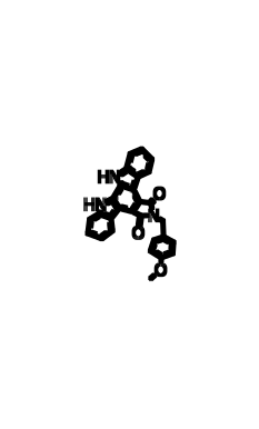 COc1ccc(CN2C(=O)c3c(c4c5ccccc5[nH]c4c4[nH]c5ccccc5c34)C2=O)cc1